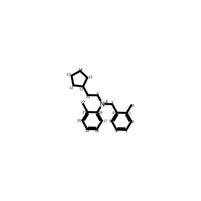 Cc1ccccc1CN(CCC1CCCC1)c1ccccc1C